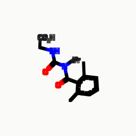 Cc1cccc(C)c1C(=O)N(C(=O)NCC(=O)O)C(C)C